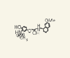 COc1ccc2c(c1)C(CNC[C@H](O)COc1ccc(O)c(NS(C)(=O)=O)c1)CCC2